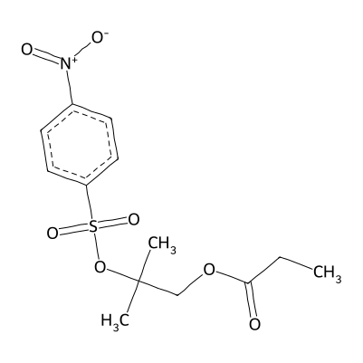 CCC(=O)OCC(C)(C)OS(=O)(=O)c1ccc([N+](=O)[O-])cc1